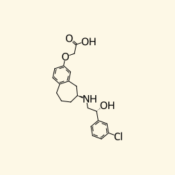 O=C(O)COc1ccc2c(c1)C[C@@H](NC[C@H](O)c1cccc(Cl)c1)CCC2